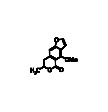 COc1c2c(cc3occc13)CC(C)OC2=O